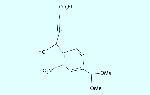 CCOC(=O)C#CC(O)c1ccc(C(OC)OC)cc1[N+](=O)[O-]